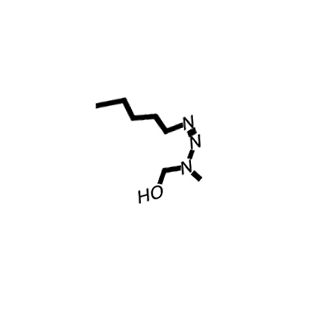 CCCCC/N=N\N(C)CO